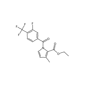 CCOC(=O)c1c(C)ccn1C(=O)c1ccc(C(F)(F)F)c(F)c1